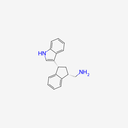 NC[C@H]1C[C@@H](c2c[nH]c3ccccc23)c2ccccc21